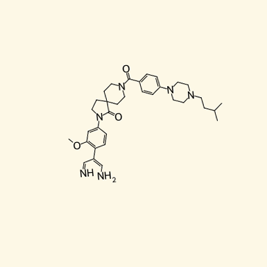 COc1cc(N2CCC3(CCN(C(=O)c4ccc(N5CCN(CCC(C)C)CC5)cc4)CC3)C2=O)ccc1/C(C=N)=C/N